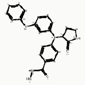 O=C(NO)c1ccc(N(c2cccc(Oc3ccccc3)c2)C2CCNC2=O)cc1